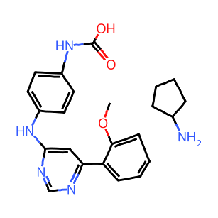 COc1ccccc1-c1cc(Nc2ccc(NC(=O)O)cc2)ncn1.NC1CCCC1